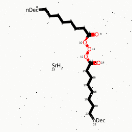 CCCCCCCCCCCCCCCCCC(=O)OOOC(=O)CCCCCCCCCCCCCCCCC.[SrH2]